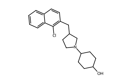 OC1CCC(N2CCC(Cc3ccc4ccccc4c3Cl)C2)CC1